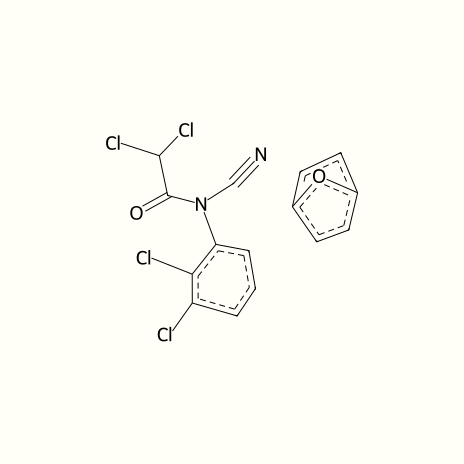 N#CN(C(=O)C(Cl)Cl)c1cccc(Cl)c1Cl.c1cc2ccc1o2